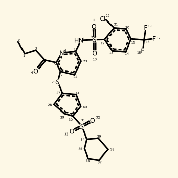 CCCC(=O)c1nc(NS(=O)(=O)c2ccc(C(F)(F)F)cc2Cl)ccc1Sc1ccc(S(=O)(=O)C2CCCCC2)cc1